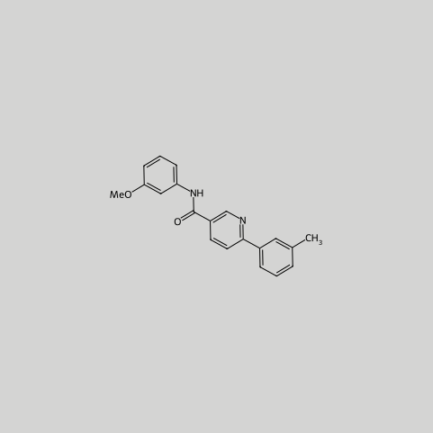 COc1cccc(NC(=O)c2ccc(-c3cccc(C)c3)nc2)c1